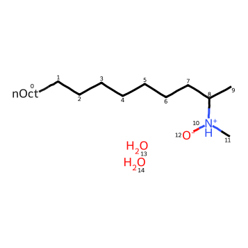 CCCCCCCCCCCCCCCC(C)[NH+](C)[O-].O.O